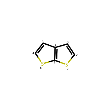 [c]1cc2c[c]sc2s1